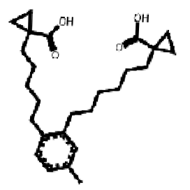 Cc1ccc(CCCCCC2(C(=O)O)CC2)c(CCCCCCC2(C(=O)O)CC2)c1